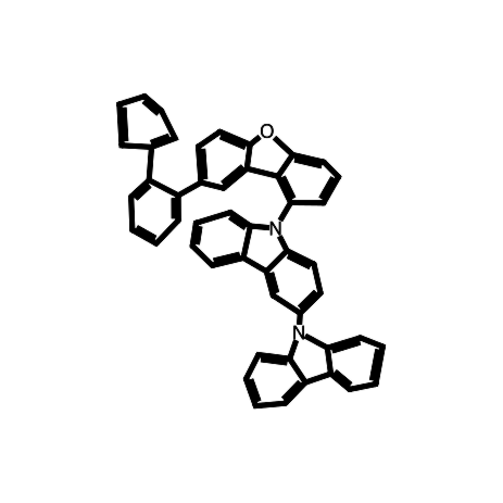 c1ccc(-c2ccccc2-c2ccc3oc4cccc(-n5c6ccccc6c6cc(-n7c8ccccc8c8ccccc87)ccc65)c4c3c2)cc1